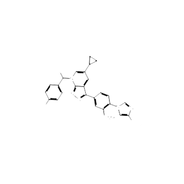 COc1cc(-c2nnc3n(C(C)c4ccc(F)cc4)cc(C4CC4)cc2-3)ccc1-n1cnc(C)c1